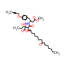 CC#CCOc1ccc(C[C@@H](CC(=O)OC)NC(=O)[C@@H](C=CCCCCCCC(=O)CCCCCCC)[C@@](O)(CCC)C(=O)O)cc1